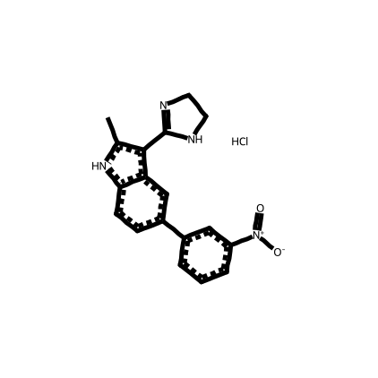 Cc1[nH]c2ccc(-c3cccc([N+](=O)[O-])c3)cc2c1C1=NCCN1.Cl